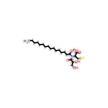 CCCCCCCCCCCCCCCC(=O)N(C(=O)[C@@H](O)CO)C(CS)C(=O)O